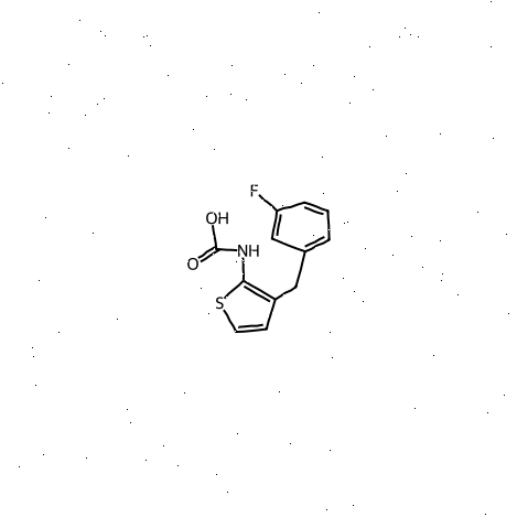 O=C(O)Nc1sccc1Cc1cccc(F)c1